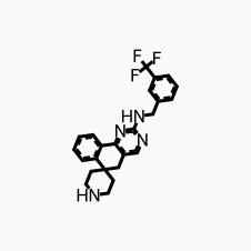 FC(F)(F)c1cccc(CNc2ncc3c(n2)-c2ccccc2C2(CCNCC2)C3)c1